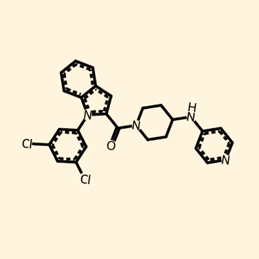 O=C(c1cc2ccccc2n1-c1cc(Cl)cc(Cl)c1)N1CCC(Nc2ccncc2)CC1